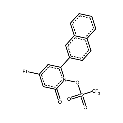 CCc1cc(-c2ccc3ccccc3c2)n(OS(=O)(=O)C(F)(F)F)c(=O)c1